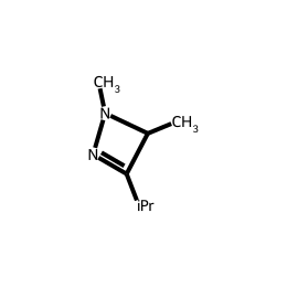 CC(C)C1=NN(C)C1C